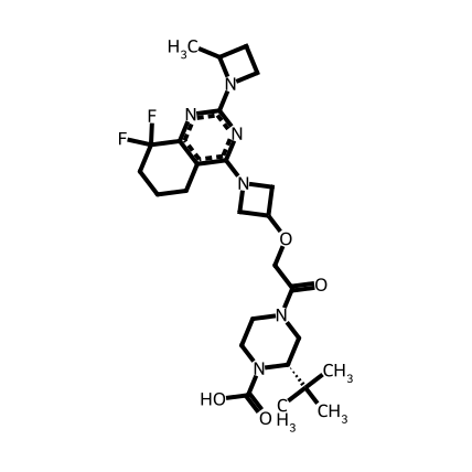 CC1CCN1c1nc(N2CC(OCC(=O)N3CCN(C(=O)O)[C@@H](C(C)(C)C)C3)C2)c2c(n1)C(F)(F)CCC2